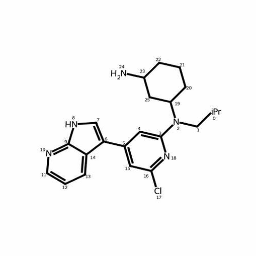 CC(C)CN(c1cc(-c2c[nH]c3ncccc23)cc(Cl)n1)C1CCCC(N)C1